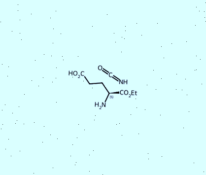 CCOC(=O)[C@@H](N)CCC(=O)O.N=C=O